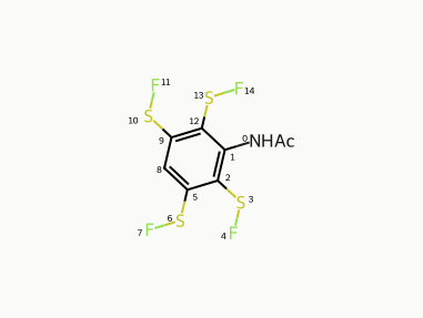 CC(=O)Nc1c(SF)c(SF)cc(SF)c1SF